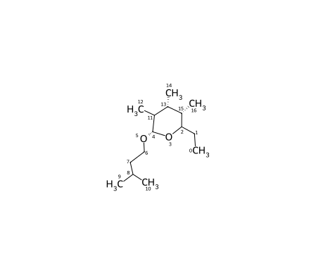 CCC1O[C@H](OCCC(C)C)C(C)[C@H](C)[C@@H]1C